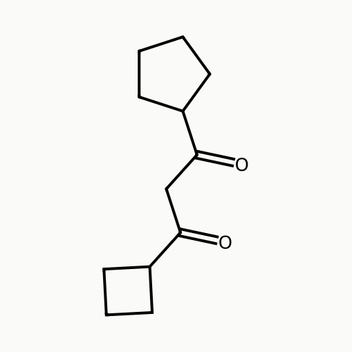 O=C(CC(=O)C1CCC1)C1CCCC1